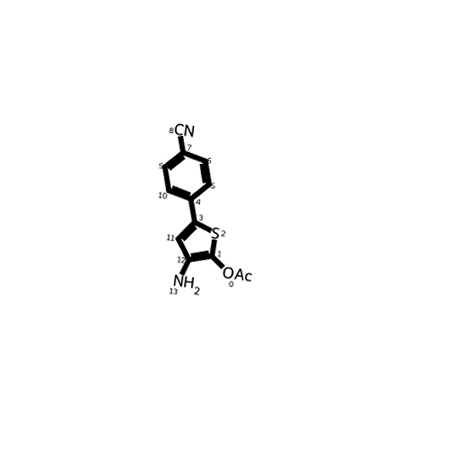 CC(=O)Oc1sc(-c2ccc(C#N)cc2)cc1N